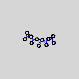 c1ccc(N(c2ccc3c4ccccc4n(-c4ccccc4)c3c2)c2ccc3c4ccc(N(c5ccccc5)c5ccc6c7ccccc7n(-c7ccccc7)c6c5)cc4n(-c4ccccc4)c3c2)cc1